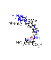 CCCCCNc1nc(N)nc2ccn(Cc3ccc(CN4CCN(CCNC(=O)C[C@@H](SC[C@H](N)C(=O)O)C(=O)O)CC4)cc3OC)c12